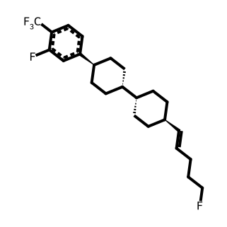 FCCCC=C[C@H]1CC[C@H]([C@H]2CC[C@H](c3ccc(C(F)(F)F)c(F)c3)CC2)CC1